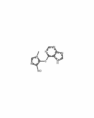 Cn1cnc(N=O)c1Sc1ncnc2nc[nH]c12